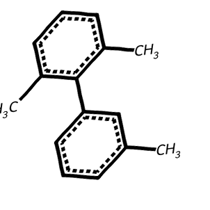 Cc1cccc(-c2c(C)cccc2C)c1